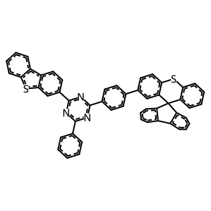 c1ccc(-c2nc(-c3ccc(-c4ccc5c(c4)C4(c6ccccc6S5)c5ccccc5-c5ccccc54)cc3)nc(-c3ccc4c(c3)sc3ccccc34)n2)cc1